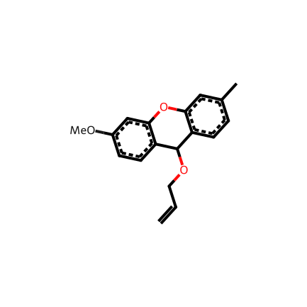 C=CCOC1c2ccc(C)cc2Oc2cc(OC)ccc21